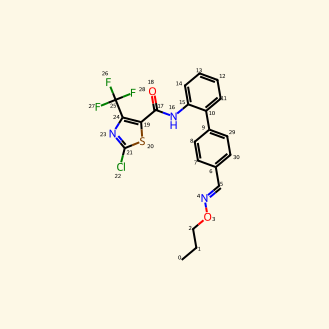 CCCO/N=C/c1ccc(-c2ccccc2NC(=O)c2sc(Cl)nc2C(F)(F)F)cc1